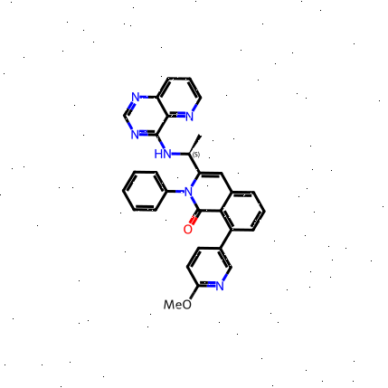 COc1ccc(-c2cccc3cc([C@H](C)Nc4ncnc5cccnc45)n(-c4ccccc4)c(=O)c23)cn1